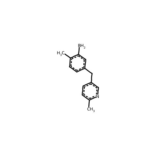 Bc1cc(Cc2ccc(C)nc2)ccc1C